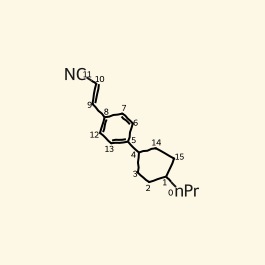 CCCC1CCC(c2ccc(C=CC#N)cc2)CC1